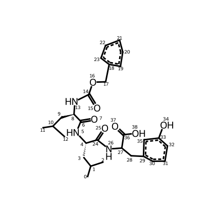 CC(C)C[C@H](NC(=O)[C@@H](CC(C)C)NC(=O)OCc1ccccc1)C(=O)NC(Cc1cccc(O)c1)C(=O)O